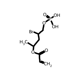 C=CC(=O)OC(C)CC(Br)COP(=O)(O)O